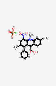 Cc1ccc2c(C(=O)O)c3c(-c4ccccc4)c(C)cc([N+](=O)[O-])c3[n+](C)c2c1.O=S(=O)([O-])F